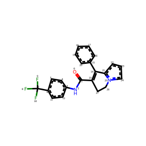 O=C(Nc1ccc(C(F)(F)F)cc1)C1=C(c2ccccc2)c2cccn2CC1